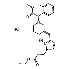 CCOC(=O)CCn1ccc(C=C2CN(C(C(=O)OC)c3ccccc3F)CC[C@H]2S)n1.Cl